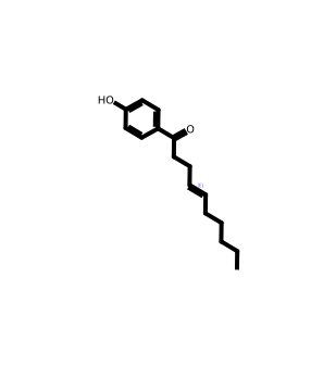 CCCCC/C=C/CCC(=O)c1ccc(O)cc1